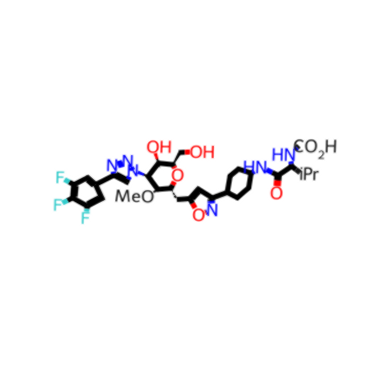 CO[C@@H]1[C@@H](n2cc(-c3cc(F)c(F)c(F)c3)nn2)[C@@H](O)[C@@H](CO)O[C@@H]1Cc1cc(C2CCC(NC(=O)C(NC(=O)O)C(C)C)CC2)no1